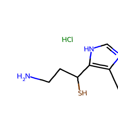 Cc1nc[nH]c1C(S)CCN.Cl